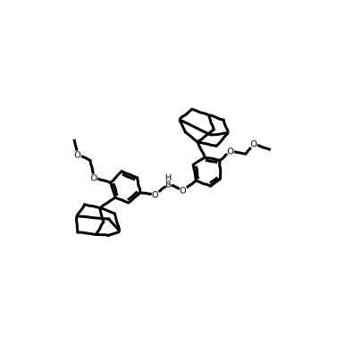 COCOc1ccc(OBOc2ccc(OCOC)c(C34CC5CC(CC(C5)C3)C4)c2)cc1C12CC3CC(CC(C3)C1)C2